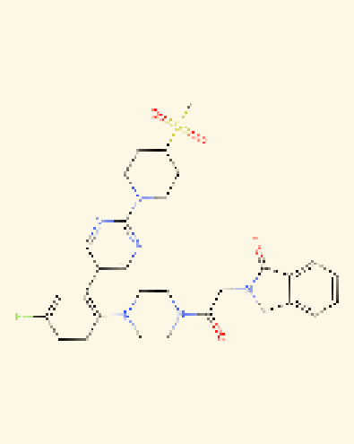 CS(=O)(=O)C1CCN(c2ncc(-c3cc(F)ccc3N3CCN(C(=O)CN4Cc5ccccc5C4=O)CC3)cn2)CC1